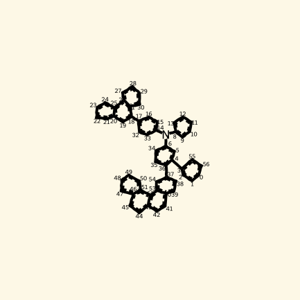 c1ccc(-c2cc(N(c3ccccc3)c3ccc(-c4cc5ccccc5c5ccccc45)cc3)ccc2-c2ccc3ccc4ccc5ccccc5c4c3c2)cc1